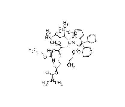 C=CCOC(=O)C(N1C(=O)[C@@H]([C@@H](CO[SiH](C)C)C(C)(C)C)[C@H]1CC(=O)C(C)=C[C@@H]1C[C@@H](OC(=O)N(C)C)CN1C(=O)OCC=C)=P(c1ccccc1)(c1ccccc1)c1ccccc1